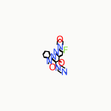 CN1CCN(C(=O)c2c(=O)c3cc(F)c(N4CCOCC4)nc3n3c4ccccc4n(C)c23)CC1